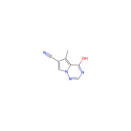 Cc1c(C#N)cn2ncnc(O)c12